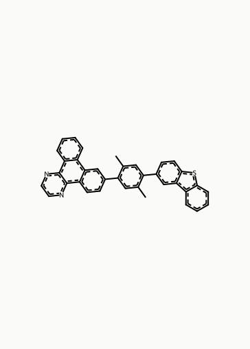 Cc1cc(-c2ccc3c(c2)c2ccccc2c2nccnc32)c(C)cc1-c1ccc2sc3ccccc3c2c1